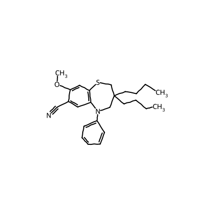 CCCCC1(CCCC)CSc2cc(OC)c(C#N)cc2N(c2ccccc2)C1